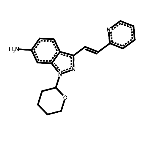 Nc1ccc2c(/C=C/c3ccccn3)nn(C3CCCCO3)c2c1